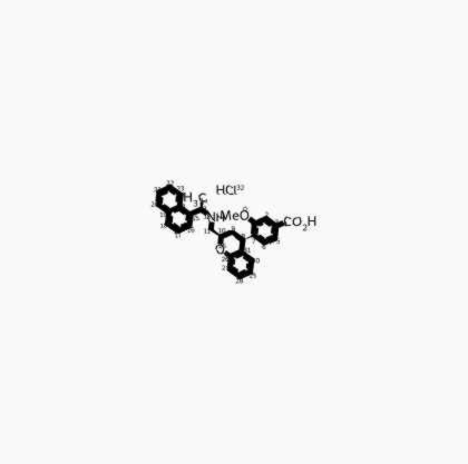 COc1cc(C(=O)O)ccc1[C@H]1C[C@H](CN[C@H](C)c2cccc3ccccc23)Oc2ccccc21.Cl